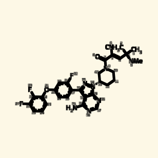 CNC(C)(C)C=C(C#N)C(=O)N1CCC[C@H](n2nc(-c3ccc(Oc4cccc(F)c4F)cc3F)c3c(N)ncnc32)C1